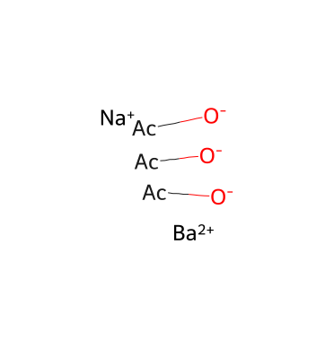 CC(=O)[O-].CC(=O)[O-].CC(=O)[O-].[Ba+2].[Na+]